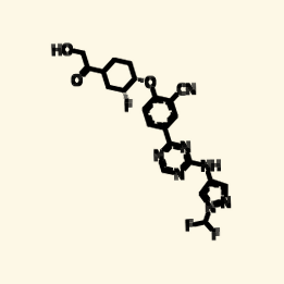 N#Cc1cc(-c2ncnc(Nc3cnn(C(F)F)c3)n2)ccc1O[C@H]1CCC(C(=O)CO)C[C@H]1F